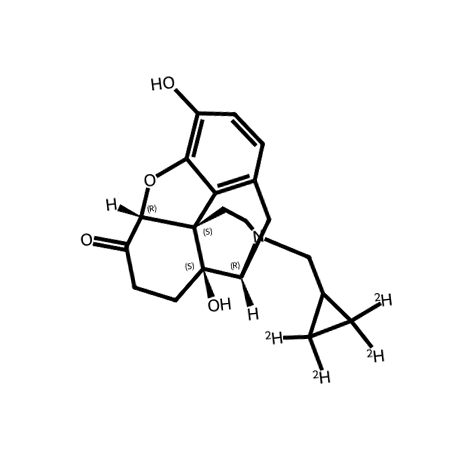 [2H]C1([2H])C(CN2CC[C@]34c5c6ccc(O)c5O[C@H]3C(=O)CC[C@@]4(O)[C@H]2C6)C1([2H])[2H]